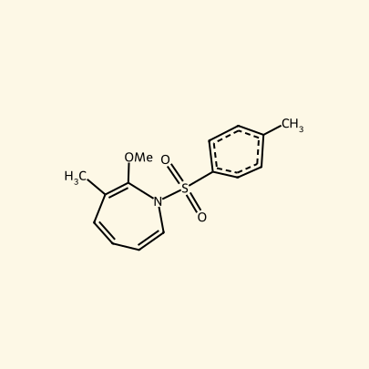 COC1=C(C)C=CC=CN1S(=O)(=O)c1ccc(C)cc1